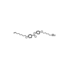 C=CCCCCCCOc1ccc(C(=O)Oc2ccc(OCCCCCC(C)CC)cc2)cc1